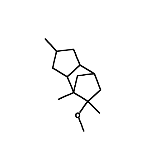 COC1(C)CC2CC1(C)C1CC(C)CC21